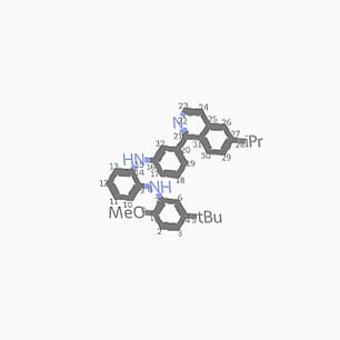 COc1ccc(C(C)(C)C)cc1Nc1ccccc1Nc1cccc(-c2nccc3cc(C(C)C)ccc23)c1